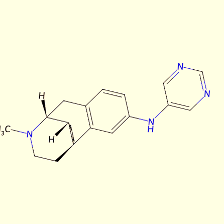 CN1CC[C@]23CCCC[C@H]2[C@H]1Cc1ccc(Nc2cncnc2)cc13